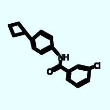 O=C(Nc1ccc(C2CCC2)cc1)c1cccc(Cl)c1